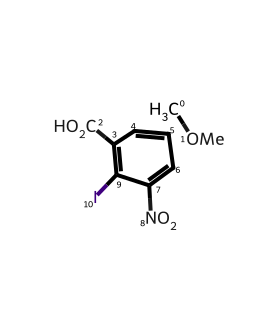 COC.O=C(O)c1cccc([N+](=O)[O-])c1I